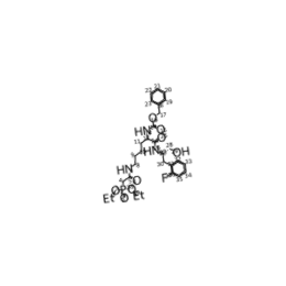 CCOP(=O)(CC(=O)NCCCCC(NC(=O)OCc1ccccc1)C(=O)N[C@H](CO)Cc1ccccc1F)OCC